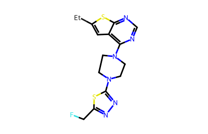 CCc1cc2c(N3CCN(c4nnc(CF)s4)CC3)ncnc2s1